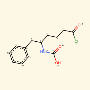 O=C(Cl)CCCC(Cc1ccccc1)NC(=O)O